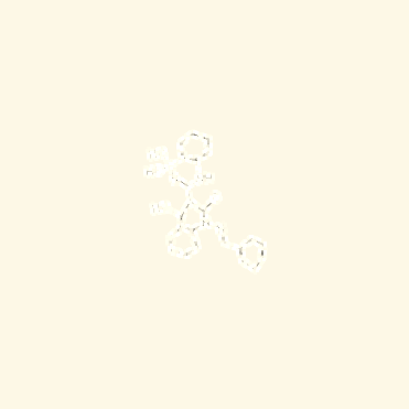 O=c1c(C2=NS(O)(O)c3ccccc3N2)c(O)c2ccccc2n1N=Cc1ccccc1